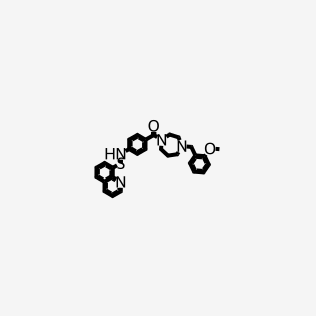 COc1ccccc1CN1CCCN(C(=O)c2ccc(NSc3cccc4cccnc34)cc2)CC1